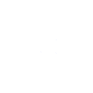 CN1c2c(oc3ccccc23)N=C(c2cccc3c2-c2ccccc2C32c3ccccc3-c3ccccc32)C1n1c2ccccc2c2cc3ccccc3cc21